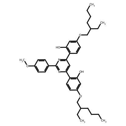 CCCCC(CC)COc1ccc(-c2cc(-c3ccc(OCC(CC)CCCC)cc3O)nc(-c3ccc(OC)cc3)n2)c(O)c1